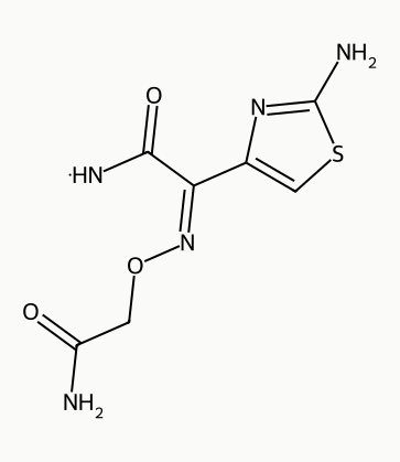 [NH]C(=O)C(=NOCC(N)=O)c1csc(N)n1